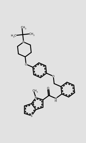 Cn1c(C(=O)Nc2ccccc2COc2ccc(OC3CCN(C(C)(C)C)CC3)cc2)cc2sccc21